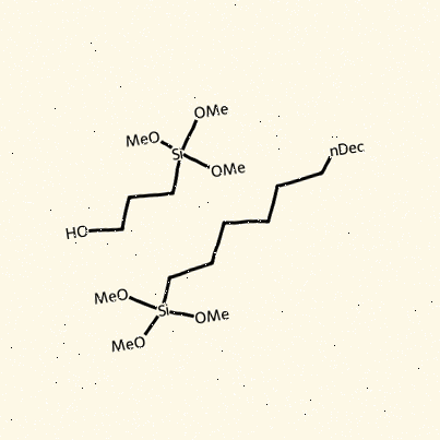 CCCCCCCCCCCCCCCC[Si](OC)(OC)OC.CO[Si](CCCO)(OC)OC